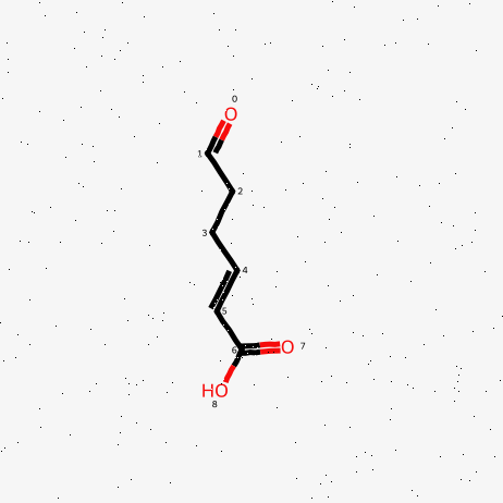 O=CCC/C=C/C(=O)O